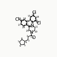 O=C(CCC1CCCC1)N1CCN(c2ccc(Cl)cc2Cl)[C@H](c2ccc(Cl)cc2)C1